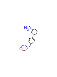 Nc1[c]ccc(-c2ccc(CN3CCOCC3)cc2)c1